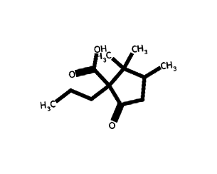 CCCC1(C(=O)O)C(=O)CC(C)C1(C)C